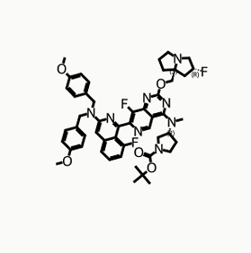 COc1ccc(CN(Cc2ccc(OC)cc2)c2cc3cccc(F)c3c(-c3ncc4c(N(C)[C@@H]5CCN(C(=O)OC(C)(C)C)C5)nc(OC[C@@]56CCCN5C[C@H](F)C6)nc4c3F)n2)cc1